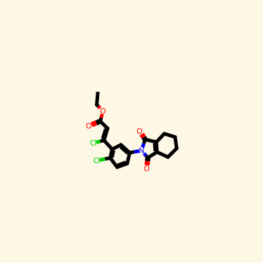 CCOC(=O)C=C(Cl)c1cc(N2C(=O)C3=C(CCCC3)C2=O)ccc1Cl